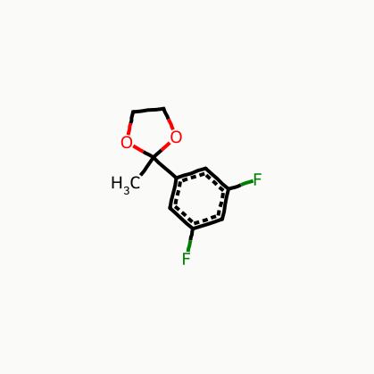 CC1(c2cc(F)cc(F)c2)OCCO1